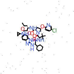 CCC[C@H](NC(=O)[C@@H]1C[C@@H](Oc2ccc(Cl)cn2)CN1C(=O)[C@@H](NC(=O)[C@@H](Nc1nc2ccccc2[nH]1)C1CCCCC1)C(C)(C)C)C(=O)C(=O)NC1CC1